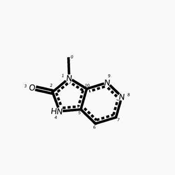 Cn1c(=O)[nH]c2ccnnc21